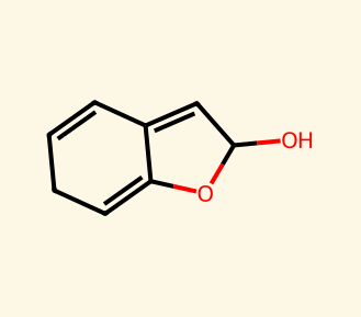 OC1C=C2C=CCC=C2O1